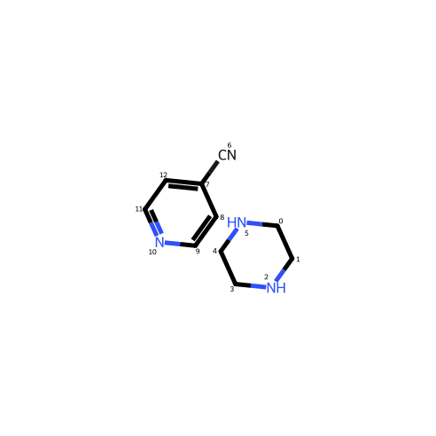 C1CNCCN1.N#Cc1ccncc1